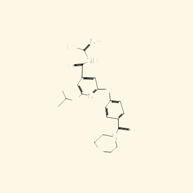 CC(C)Oc1cc(C(=O)NC(=N)S)cc(Oc2ccc(C(=O)N3CCOCC3)cc2)n1